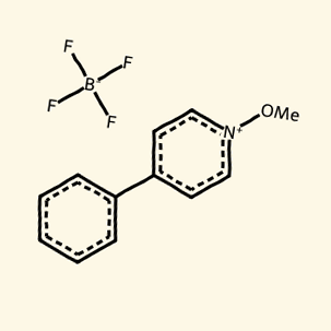 CO[n+]1ccc(-c2ccccc2)cc1.F[B-](F)(F)F